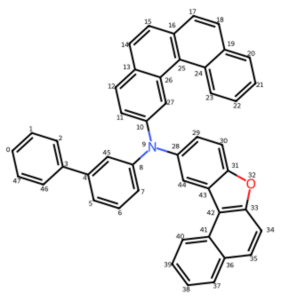 c1ccc(-c2cccc(N(c3ccc4ccc5ccc6ccccc6c5c4c3)c3ccc4oc5ccc6ccccc6c5c4c3)c2)cc1